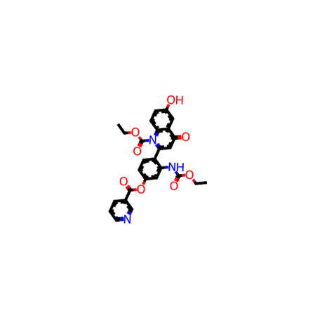 CCOC(=O)Nc1cc(OC(=O)c2cccnc2)ccc1-c1cc(=O)c2cc(O)ccc2n1C(=O)OCC